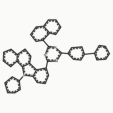 c1ccc(-c2ccc(-c3nc(-c4cccc5ccccc45)nc(-c4cccc5c4c4ccc6ccccc6c4n5-c4ccccc4)n3)cc2)cc1